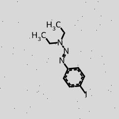 CCN(CC)N=Nc1ccc(I)cc1